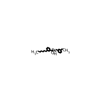 CCCCCCCc1cccc(C(=O)ONCc2cccc(CC)c2)c1